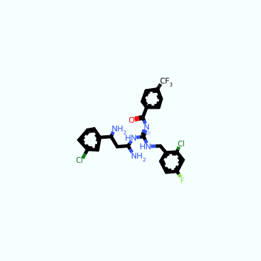 NC(CC(N)c1cccc(Cl)c1)N/C(=N\C(=O)c1ccc(C(F)(F)F)cc1)NCc1ccc(F)cc1Cl